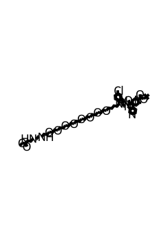 COC(=O)CCNCCNCCOCCOCCOCCOCCOCCOCCOCCOCCCCn1c(CN2C(=O)C3(CCN(C(=O)OC(C)(C)C)CC3)c3ccncc32)nc2cc(Cl)ccc21